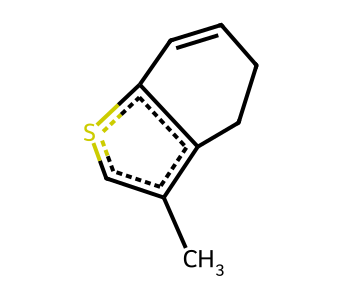 Cc1csc2c1CCC=C2